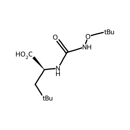 CC(C)(C)C[C@H](NC(=O)NOC(C)(C)C)C(=O)O